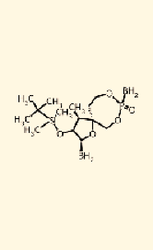 B[C@@H]1O[C@@]2(CCOP(B)(=O)OC2)[C@H](C)C1O[Si](C)(C)C(C)(C)C